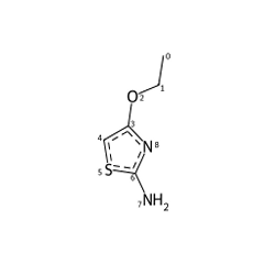 CCOc1csc(N)n1